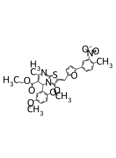 CCOC(=O)C1=C(C)N=c2s/c(=C\c3ccc(-c4ccc(C)c([N+](=O)[O-])c4)o3)c(=O)n2C1c1cc(OC)ccc1OC